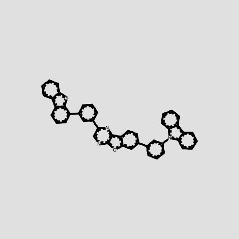 c1cc(-c2cnc3oc4cc(-c5cccc(-n6c7ccccc7c7ccccc76)c5)ccc4c3n2)cc(-c2cccc3c2sc2ccccc23)c1